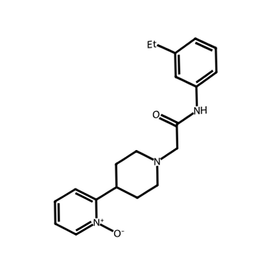 CCc1cccc(NC(=O)CN2CCC(c3cccc[n+]3[O-])CC2)c1